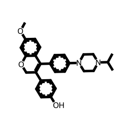 COc1ccc2c(c1)OCC(c1ccc(O)cc1)=C2c1ccc(N2CCN(C(C)C)CC2)cc1